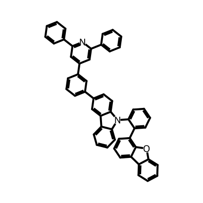 c1ccc(-c2cc(-c3cccc(-c4ccc5c(c4)c4ccccc4n5-c4ccccc4-c4cccc5c4oc4ccccc45)c3)cc(-c3ccccc3)n2)cc1